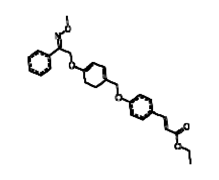 CCOC(=O)/C=C/c1ccc(OCC2=CC=C(OC/C(=N\OC)c3ccccc3)CC2)cc1